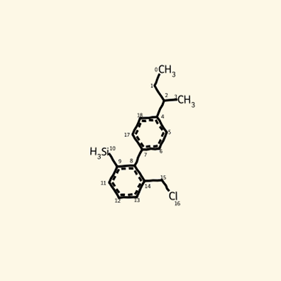 CCC(C)c1ccc(-c2c([SiH3])cccc2CCl)cc1